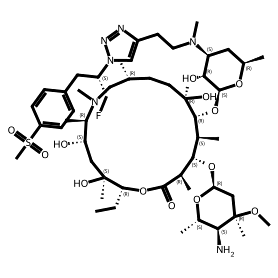 CC[C@H]1OC(=O)[C@H](C)[C@@H](O[C@H]2C[C@@](C)(OC)[C@@H](N)[C@H](C)O2)[C@H](C)[C@@H](O[C@@H]2O[C@H](C)C[C@H](N(C)CCc3cn([C@H](CF)Cc4ccc(S(C)(=O)=O)cc4)nn3)[C@H]2O)[C@](C)(O)CC[C@@H](C)CN(C)[C@H](C)[C@@H](O)C[C@]1(C)O